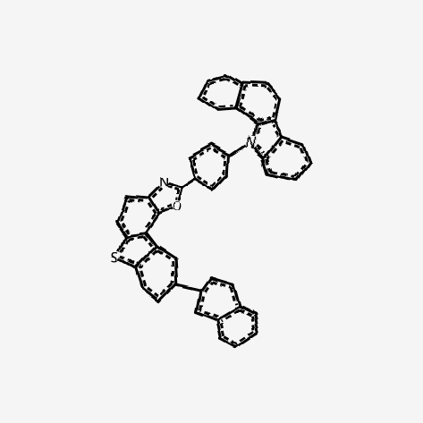 c1ccc2cc(-c3ccc4sc5ccc6nc(-c7ccc(-n8c9ccccc9c9ccc%10ccccc%10c98)cc7)oc6c5c4c3)ccc2c1